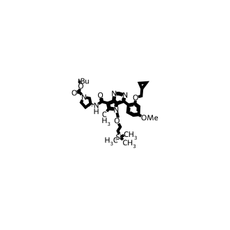 COc1ccc(-c2ncnc3c(C(=O)N[C@@H]4CCN(C(=O)OC(C)(C)C)C4)c(C)n(COCC[Si](C)(C)C)c23)c(OCC2CC2)c1